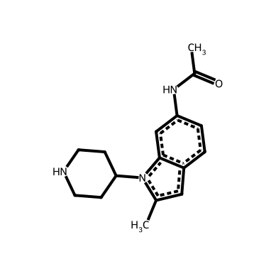 CC(=O)Nc1ccc2cc(C)n(C3CCNCC3)c2c1